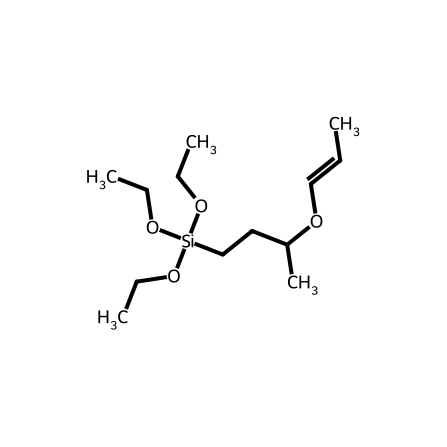 CC=COC(C)CC[Si](OCC)(OCC)OCC